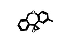 Cc1ccc2c(c1)C1(CO1)c1ccccc1CO2